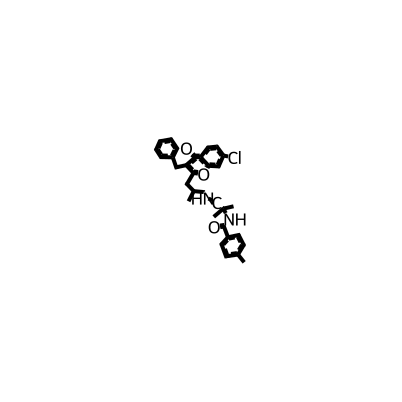 Cc1ccc(C(=O)NC(C)(C)CNCC(C)Cc2oc3cc(Cl)ccc3c(=O)c2Cc2ccccc2)cc1